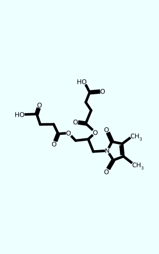 CC1=C(C)C(=O)N(CC(COC(=O)CCC(=O)O)OC(=O)CCC(=O)O)C1=O